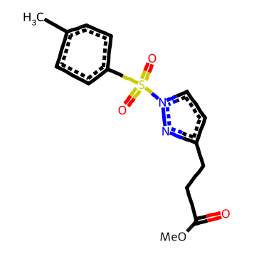 COC(=O)CCc1ccn(S(=O)(=O)c2ccc(C)cc2)n1